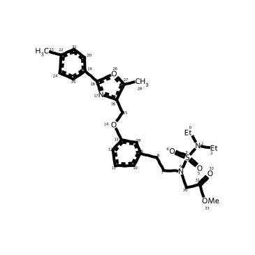 CCN(CC)S(=O)(=O)N(CCc1cccc(OCc2nc(-c3ccc(C)cc3)oc2C)c1)CC(=O)OC